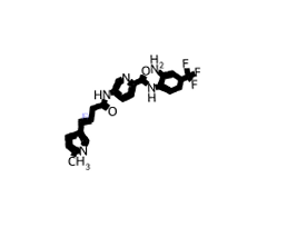 Cc1ccc(/C=C/CC(=O)Nc2ccc(C(=O)NC3=CCC(C(F)(F)F)C=C3N)nc2)cn1